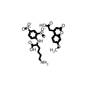 COc1ccc2c(CC(=O)O)cc(=O)oc2c1.NCCCCC(Nc1ccc([N+](=O)[O-])cc1[N+](=O)[O-])C(=O)O